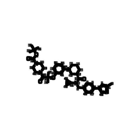 Cn1cc(-c2ccc(CN(C(=O)[C@@H]3CCCN(c4cccc(OC(C)(C)C(=O)N5CCN(C(=O)OC(C)(C)C)CC5)c4)C3)C3CC3)cc2)cn1